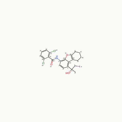 CC(O)(CI)c1ccc(NC(=O)c2c(Cl)cccc2Cl)c2oc3c(c12)CCCC3